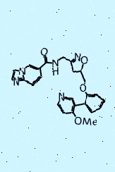 COc1ccncc1-c1ccccc1OCC1CC(CNC(=O)c2ccc3nccn3c2)=NO1